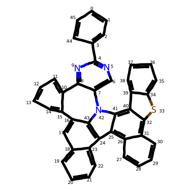 c1ccc(-c2ncc3c(n2)-c2ccccc2-c2cc4ccccc4c4c5c6ccccc6c6sc7ccccc7c6c5n-3c24)cc1